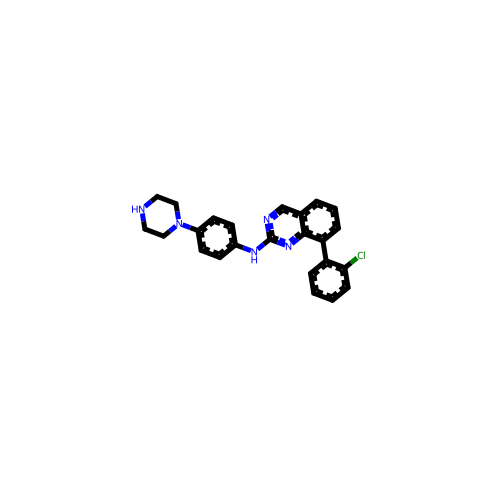 Clc1ccccc1-c1cccc2cnc(Nc3ccc(N4CCNCC4)cc3)nc12